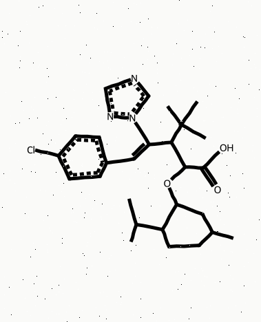 CC1CCC(C(C)C)C(OC(C(=O)O)C(/C(=C/c2ccc(Cl)cc2)n2cncn2)C(C)(C)C)C1